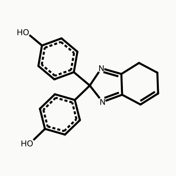 Oc1ccc(C2(c3ccc(O)cc3)N=C3C=CCCC3=N2)cc1